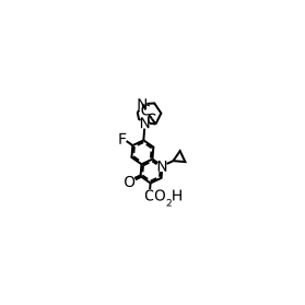 O=C(O)c1cn(C2CC2)c2cc(N3CCN4CCC3CC4)c(F)cc2c1=O